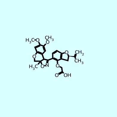 C=C(C)[C@H]1Cc2c(ccc(C3=NOC4(C)COc5cc(OC)c(OC)cc5C34)c2OCC(=O)O)O1